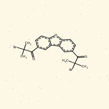 CC(C)(Br)C(=O)c1ccc2oc3ccc(C(=O)C(C)(C)Br)cc3c2c1